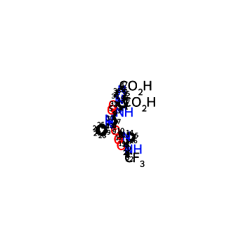 O=C(O)CC(NC(=O)c1cc(OCC(=O)N2CCCC2C(=O)NCC(F)(F)F)n(-c2ccccc2)n1)C(=O)N1CCN(C(=O)O)CC1